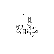 CC(Nc1ncnc2ccoc12)c1nc2cccc(Cl)c2c(=O)n1N1CCNCC1